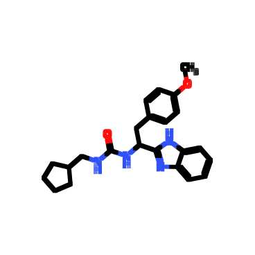 COc1ccc(CC(NC(=O)NCC2CCCC2)c2nc3ccccc3[nH]2)cc1